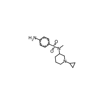 CN(C1CCCN(C2CC2)C1)S(=O)(=O)c1ccc(N)cc1